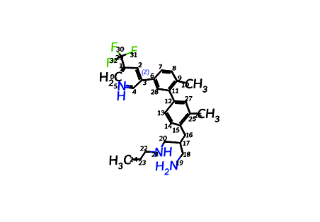 C=C(/C=C(\C=N)c1ccc(C)c(-c2ccc(CC(CN)CNCCC)c(C)c2)c1)C(F)(F)F